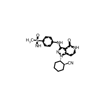 CS(=N)(=O)c1ccc(Nc2nn([C@H]3CCCC[C@@H]3C#N)c3cc[nH]c(=O)c23)cc1